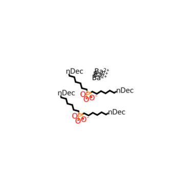 CCCCCCCCCCCCCCCCP([O-])([O-])([O-])CCCCCCCCCCCCCCCC.CCCCCCCCCCCCCCCCP([O-])([O-])([O-])CCCCCCCCCCCCCCCC.[Ba+2].[Ba+2].[Ba+2]